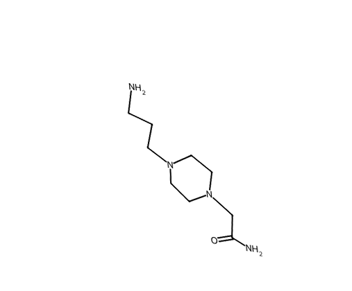 NCCCN1CCN(CC(N)=O)CC1